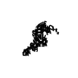 Cn1ccc(-c2cc(C(=O)Nc3cnc(CC(=O)NCC4CCOC4)nc3-c3ccccc3)c(F)cc2C(F)(F)F)n1